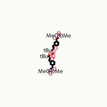 COP(=O)(CC(=O)c1ccc2oc(C(OC(=O)OC(c3cc4cc(C(=O)CP(=O)(OC)OC)ccc4o3)C(C)(C)C)C(C)(C)C)cc2c1)OC